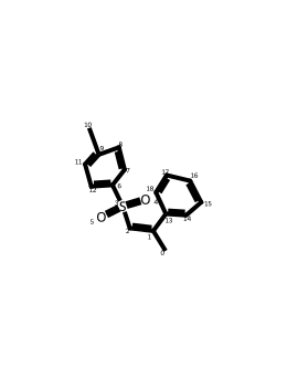 CC(=CS(=O)(=O)c1ccc(C)cc1)c1ccccc1